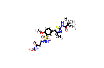 COc1ccc(-c2sc(NC(=O)C(C)(C)C)nc2C)cc1S(=O)(=O)NCCC(=O)NO